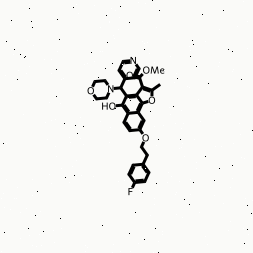 COC(=O)c1c(C)oc2c1c(C(c1ccncc1)N1CCOCC1)c(O)c1ccc(OCCc3ccc(F)cc3)cc12